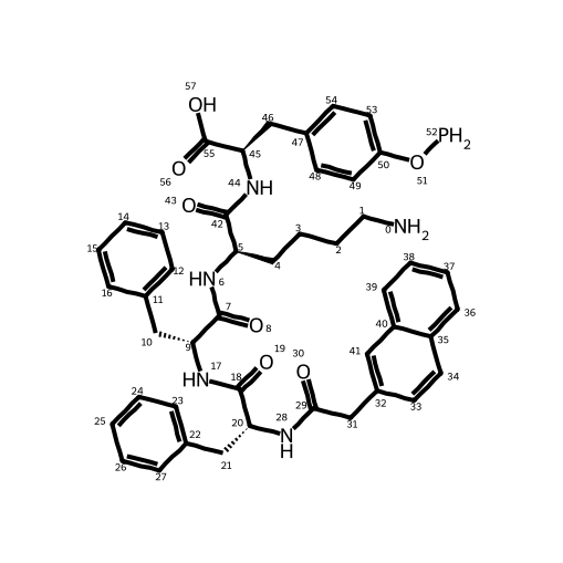 NCCCC[C@@H](NC(=O)[C@@H](Cc1ccccc1)NC(=O)[C@@H](Cc1ccccc1)NC(=O)Cc1ccc2ccccc2c1)C(=O)N[C@H](Cc1ccc(OP)cc1)C(=O)O